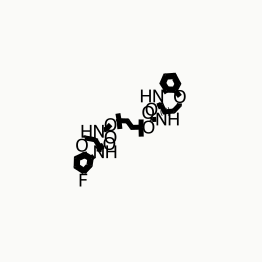 CC(C)(CCC(C)(C)OC(=O)N[C@H]1CCOc2ccccc2NC1=O)OC(=O)NC1COc2ccc(F)cc2NC1=O